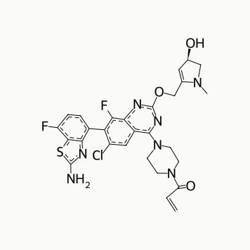 C=CC(=O)N1CCN(c2nc(OCC3=C[C@@H](O)CN3C)nc3c(F)c(-c4ccc(F)c5sc(N)nc45)c(Cl)cc23)CC1